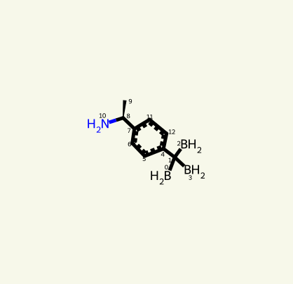 BC(B)(B)c1ccc([C@H](C)N)cc1